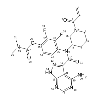 C=CC(=O)N1CCCC(N(C(=O)c2n[nH]c3ncnc(N)c23)c2ccc(OC(=O)N(C)C)c(F)c2F)C1